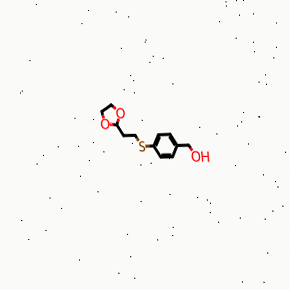 OCc1ccc(SCCC2OCCO2)cc1